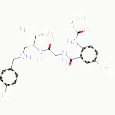 CCC[C@H](O)[C@H](CNCc1ccc(CC)cc1)NC(=O)CNC(=O)c1cc(C(F)(F)F)ccc1NC(=O)OC(C)(C)C